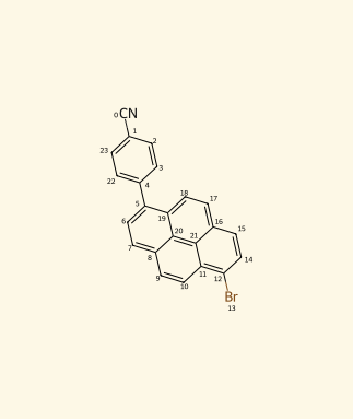 N#Cc1ccc(-c2ccc3ccc4c(Br)ccc5ccc2c3c54)cc1